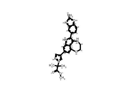 COC(=O)C(C)(C)n1cc(-c2cc3c4c(c(-c5ccc6oc(N)nc6c5)[nH]c4c2)NCCO3)cn1